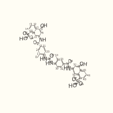 Cc1cc(C(=O)Nc2cc(O)c3cccc(S(=O)(=O)O)c3c2)ccc1NC(=O)Nc1ccc(C(=O)Nc2cc(O)c3cccc(S(=O)(=O)O)c3c2)cc1C